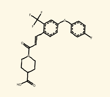 O=C(O)C1CCN(C(=O)/C=C/c2ccc(Sc3ccc(F)cc3)cc2C(F)(F)F)CC1